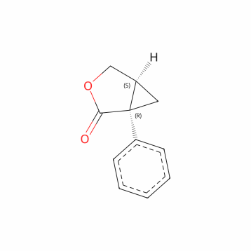 O=C1OC[C@H]2C[C@@]12c1ccccc1